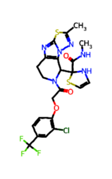 CNC(=O)C1(C2c3c(nc4sc(C)nn34)CCN2C(=O)COc2ccc(C(F)(F)F)cc2Cl)NC=CS1